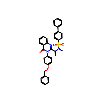 CC(c1nc2ccccc2c(=O)n1-c1ccc(OCc2ccccc2)cc1)N(C)S(=O)(=O)c1ccc(-c2ccccc2)cc1